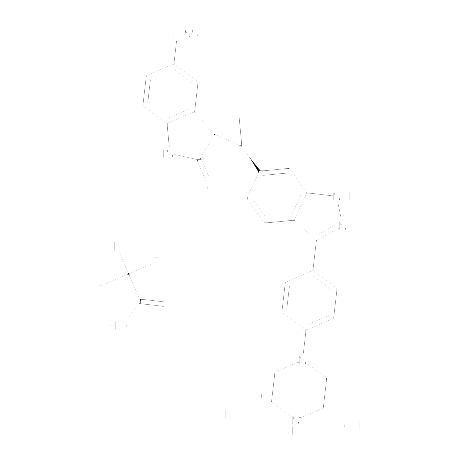 COc1ccc2c(c1)[C@]1(C[C@H]1c1ccc3c(-c4ccc(N5C[C@@H](C)N[C@@H](C)C5)cc4)n[nH]c3c1)C(=O)N2.O=C(O)C(F)(F)F